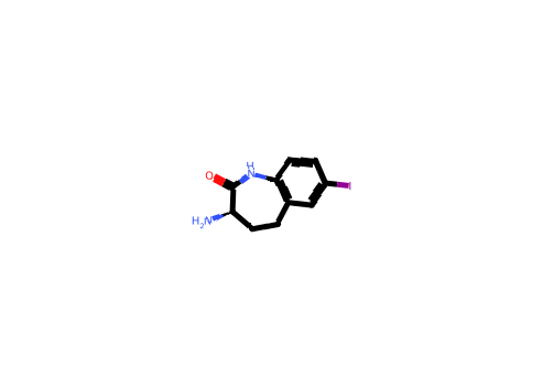 N[C@@H]1CCc2cc(I)ccc2NC1=O